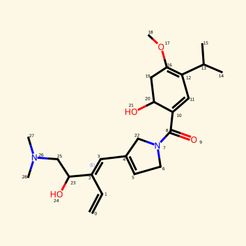 C=C/C(=C\C1=CCN(C(=O)C2=CC(C(C)C)=C(OC)CC2O)C1)C(O)CN(C)C